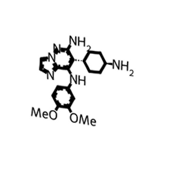 COc1ccc(Nc2c3nccn3nc(N)c2[C@H]2CC[C@H](N)CC2)cc1OC